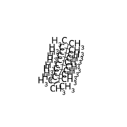 CC(C)=C(C)C(C)(C)C(C)(C)C(C)(C)C(C)(C)C(C)(C)C(C)(C)C(C)(C)C(C)(C)C(C)C